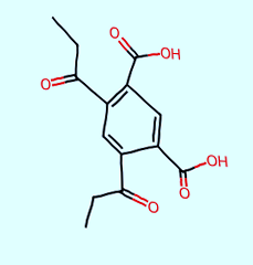 CCC(=O)c1cc(C(=O)CC)c(C(=O)O)cc1C(=O)O